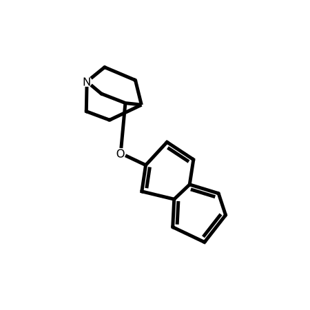 c1ccc2cc(OC3CN4CCC3CC4)ccc2c1